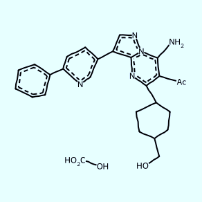 CC(=O)c1c(C2CCC(CO)CC2)nc2c(-c3ccc(-c4ccccc4)nc3)cnn2c1N.O=C(O)O